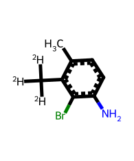 [2H]C([2H])([2H])c1c(C)ccc(N)c1Br